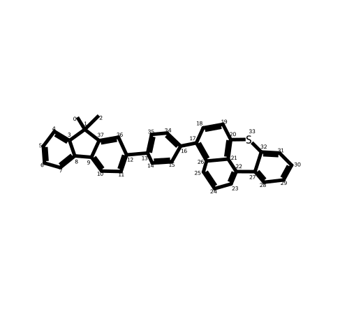 CC1(C)c2ccccc2-c2ccc(-c3ccc(-c4ccc5c6c(cccc46)-c4ccccc4S5)cc3)cc21